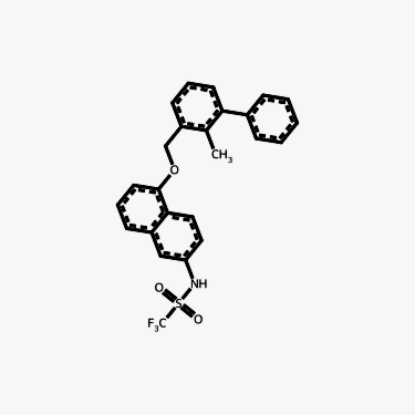 Cc1c(COc2cccc3cc(NS(=O)(=O)C(F)(F)F)ccc23)cccc1-c1ccccc1